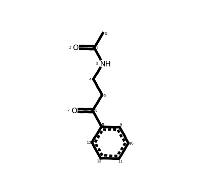 CC(=O)NCCC(=O)c1ccccc1